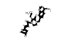 CCC[C@H]1C(=O)N(Cc2ccc3c(N)ncnc3c2)CCN1C(=O)C=Cc1cc(Cl)cs1